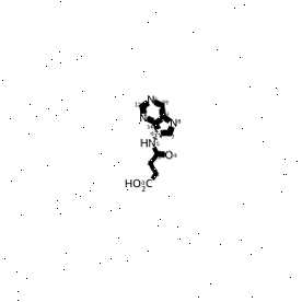 O=C(O)CCC(=O)Nn1cnc2cncnc21